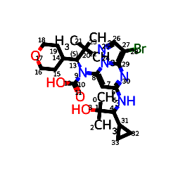 CC(C)(O)C(Nc1cc(N(C(=O)O)[C@@H](C2CCOCC2)C(C)(C)C)n2ncc(Br)c2n1)C1CC1